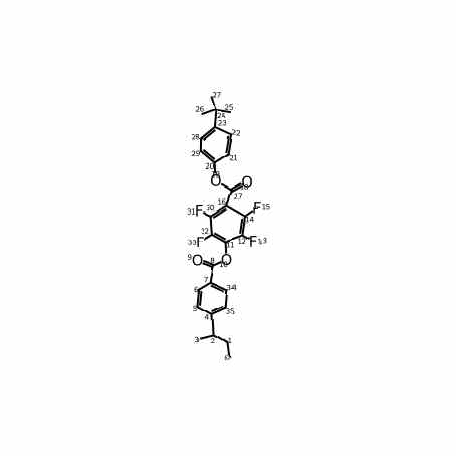 CCC(C)c1ccc(C(=O)Oc2c(F)c(F)c(C(=O)Oc3ccc(C(C)(C)C)cc3)c(F)c2F)cc1